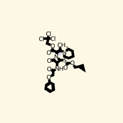 C/C(=C(\C(=O)OCC(Cl)(Cl)Cl)N1C(=O)C(NC(=O)COc2ccccc2)C1SC(=O)OCC1CC1)N1CCCCC1